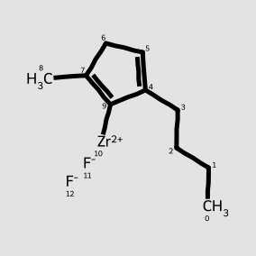 CCCCC1=CCC(C)=[C]1[Zr+2].[F-].[F-]